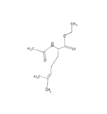 CCOC(=O)C(CCC=C(C)C)NC(C)=O